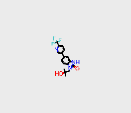 CC(C)(O)Cn1c(=O)[nH]c2cc(-c3ccc(C(F)(F)F)nc3)ccc21